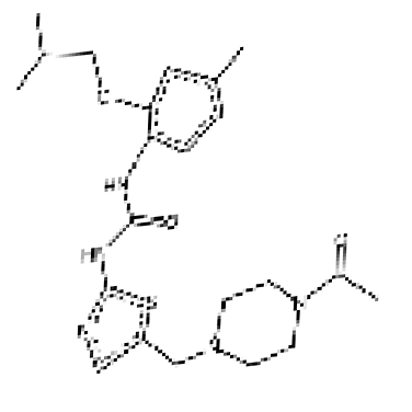 CC(=O)N1CCN(Cc2cnc(NC(=O)Nc3ccc(C)cc3OCC(C)C)s2)CC1